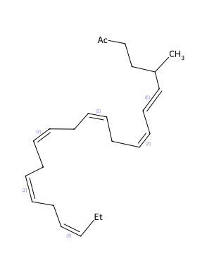 CC/C=C\C/C=C\C/C=C\C/C=C\C/C=C\C=C\C(C)CCC(C)=O